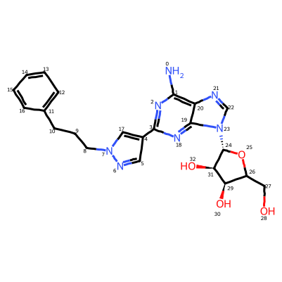 Nc1nc(-c2cnn(CCCc3ccccc3)c2)nc2c1ncn2[C@@H]1OC(CO)[C@@H](O)[C@H]1O